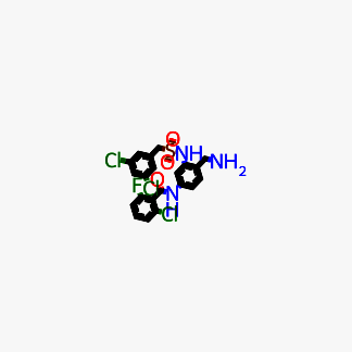 NCc1ccc(NC(=O)c2c(F)cccc2Cl)cc1NS(=O)(=O)Cc1cc(Cl)cc(Cl)c1